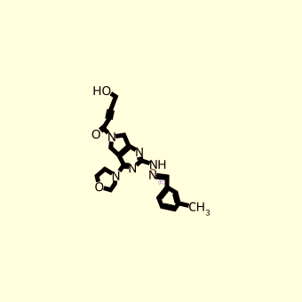 Cc1cccc(/C=N/Nc2nc3c(c(N4CCOCC4)n2)CN(C(=O)C#CCO)C3)c1